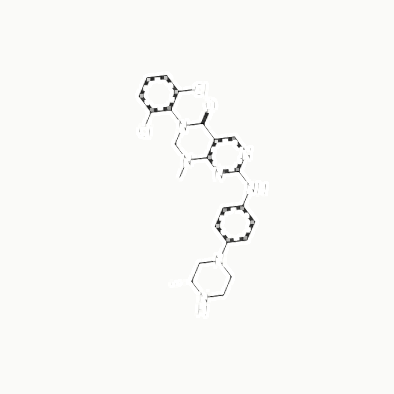 C[C@@H]1CN(c2ccc(Nc3ncc4c(n3)N(C)CN(c3c(Cl)cccc3Cl)C4=O)cc2)CCN1